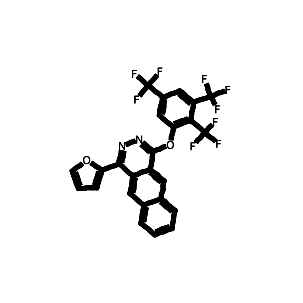 FC(F)(F)c1cc(Oc2nnc(-c3ccco3)c3cc4ccccc4cc23)c(C(F)(F)F)c(C(F)(F)F)c1